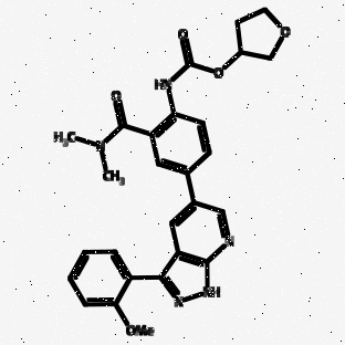 COc1ccccc1-c1n[nH]c2ncc(-c3ccc(NC(=O)OC4CCOC4)c(C(=O)N(C)C)c3)cc12